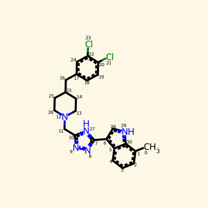 Cc1cccc2c(-c3nnc(CN4CCC(Cc5ccc(Cl)c(Cl)c5)CC4)[nH]3)c[nH]c12